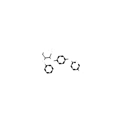 CCOC(=O)CC(Nc1ccccc1)C(C)Oc1ccc(Oc2ccc(C(F)(F)F)cn2)cc1